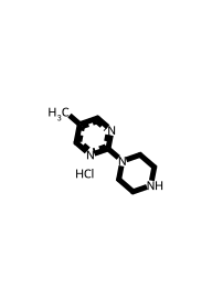 Cc1cnc(N2CCNCC2)nc1.Cl